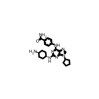 NC(=O)c1ccc(Nc2nc(N[C@H]3CC[C@H](N)CC3)nc3c2ncn3C2CCCC2)cc1